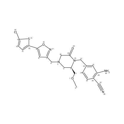 COC[C@H]1CN(Cc2cc(-c3ccc(Cl)s3)on2)CC(=O)N1Cc1ccc(C#N)c(N)c1